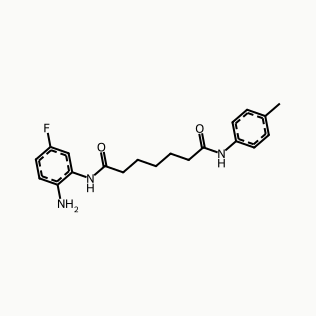 Cc1ccc(NC(=O)CCCCCC(=O)Nc2cc(F)ccc2N)cc1